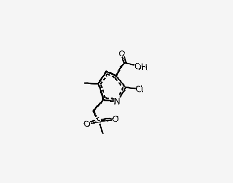 Cc1cc(C(=O)O)c(Cl)nc1CS(C)(=O)=O